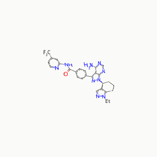 CCn1ncc2c1CCC[C@@H]2n1nc(-c2ccc(C(=O)Nc3cc(C(F)(F)F)ccn3)cc2)c2c(N)ncnc21